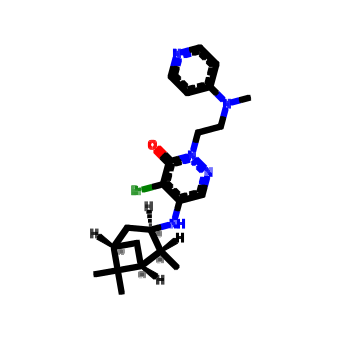 C[C@@H]1[C@H]2C[C@@H](C[C@H]1Nc1cnn(CCN(C)c3ccncc3)c(=O)c1Br)C2(C)C